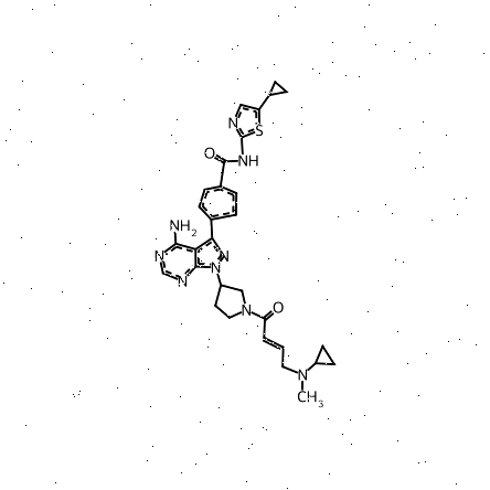 CN(CC=CC(=O)N1CCC(n2nc(-c3ccc(C(=O)Nc4ncc(C5CC5)s4)cc3)c3c(N)ncnc32)C1)C1CC1